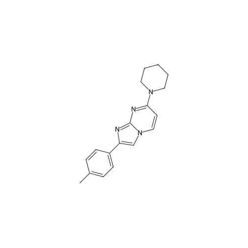 Cc1ccc(-c2cn3ccc(N4CCCCC4)nc3n2)cc1